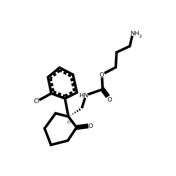 NCCCOC(=O)NC[C@@]1(c2ccccc2Cl)CCCCC1=O